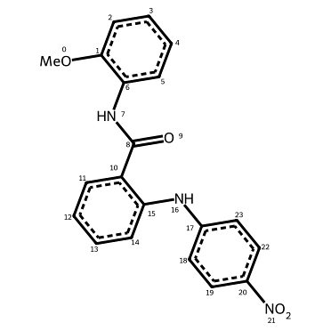 COc1ccccc1NC(=O)c1ccccc1Nc1ccc([N+](=O)[O-])cc1